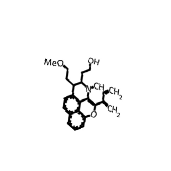 C=CC(=C)C1=C2c3c(ccc4cccc(c34)O1)C(CCOC)C(CCO)N2C